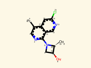 CC(C)c1cnc(N2C[C@H](O)[C@H]2C)c2cnc(Cl)cc12